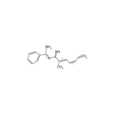 C=C/C=C\C=C(/C)C(=N)/N=C(\N)c1ccccc1